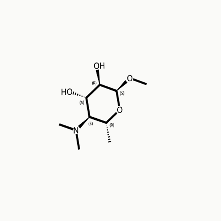 CO[C@H]1O[C@H](C)[C@@H](N(C)C)[C@H](O)[C@H]1O